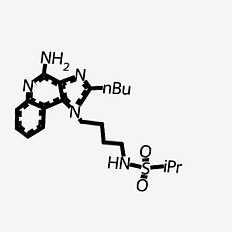 CCCCc1nc2c(N)nc3ccccc3c2n1CCCCNS(=O)(=O)C(C)C